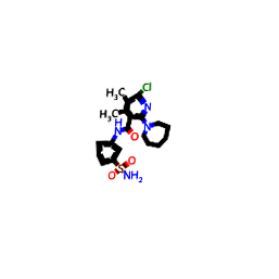 Cc1c(Cl)nc(N2CCCCCC2)c(C(=O)Nc2cccc(S(N)(=O)=O)c2)c1C